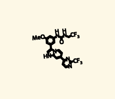 COc1cc(NC(=O)NCC(F)(F)F)cc(C2=CNC3C=C(c4ccnc(C(F)(F)F)n4)C=CN23)c1